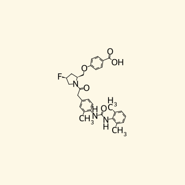 Cc1cc(CC(=O)N2C[C@@H](F)C[C@H]2COc2ccc(C(=O)O)cc2)ccc1NC(=O)Nc1c(C)cccc1C